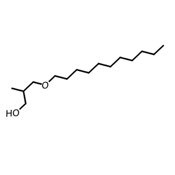 CCCCCCCCCCCOCC(C)CO